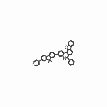 CC1(C)c2cc(-c3ccncc3)ccc2-c2ccc(-c3ccc4c(c3)nc(-c3ccccc3)c3ccc5c6ccccc6oc5c34)cc21